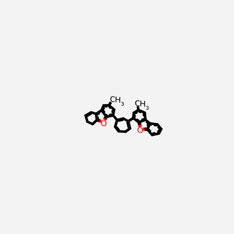 Cc1cc(C2=CC(c3cc(C)cc4c3oc3ccccc34)=CCC=C2)c2oc3c(c2c1)C=CCC3